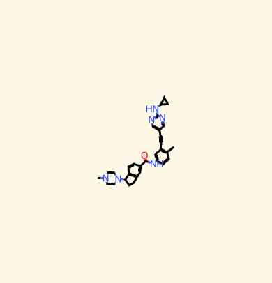 Cc1ccc(NC(=O)c2ccc3c(c2)CC[C@H]3N2CCN(C)CC2)cc1C#Cc1cnc(NC2CC2)nc1